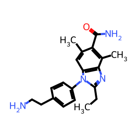 CCc1nc2c(C)c(C(N)=O)c(C)cc2n1-c1ccc(CCN)cc1